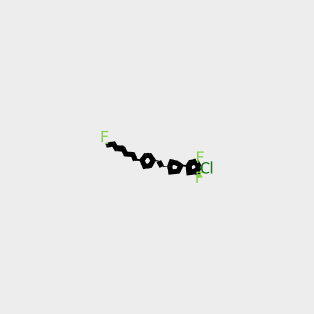 FCCC=CCCC[C@H]1CC[C@H](CC[C@H]2CC[C@H](c3cc(F)c(Cl)c(F)c3)CC2)CC1